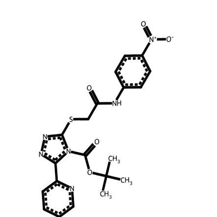 CC(C)(C)OC(=O)n1c(SCC(=O)Nc2ccc([N+](=O)[O-])cc2)nnc1-c1ccccn1